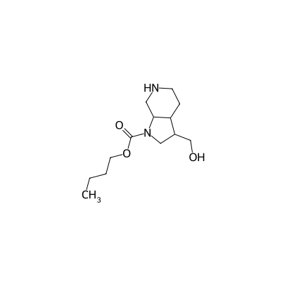 CCCCOC(=O)N1CC(CO)C2CCNCC21